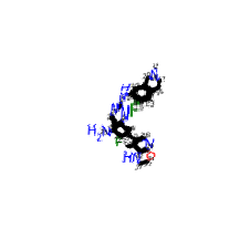 Cc1c(-c2cc3nc(Nc4cc5c(cc4F)CCN(C)C5)ncc3c(N)c2F)cnc2c1NCCO2